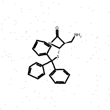 NC[C@@H]1C(=O)N[C@H]1SC(c1ccccc1)(c1ccccc1)c1ccccc1